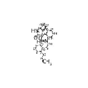 C=CCc1cccc2c1C=CN1c3ccccc3C3(O[C@H]21)C(=O)Nc1ccccc13